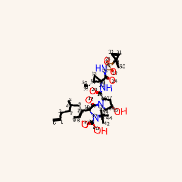 C=CCCC(C)C[C@@H](CC)[C@@H](C(=O)N1C[C@H](O)C[C@H]1C(=O)N[C@]1(C(=O)NS(=O)(=O)C2(C)CC2)C[C@H]1C=C)N(C(=O)O)C(C)(C)C